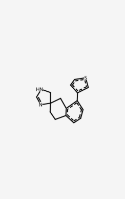 C1=NC2(CCc3cccc(-c4ccsc4)c3C2)CN1